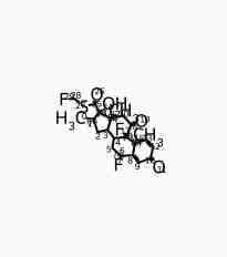 C[C@@H]1CC2C3C[C@H](F)C4=CC(=O)C=C[C@]4(C)[C@@]3(F)C(=O)C[C@]2(C)[C@@]1(O)C(=O)SCF